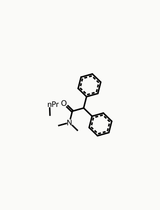 CCCC.CN(C)C(=O)C(c1ccccc1)c1ccccc1